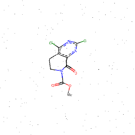 CC(C)(C)OC(=O)N1CCc2c(Cl)nc(Cl)nc2C1=O